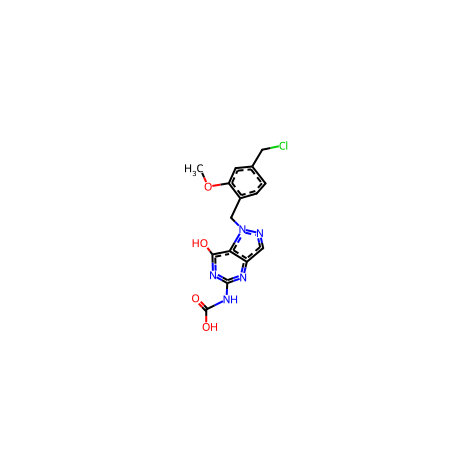 COc1cc(CCl)ccc1Cn1ncc2nc(NC(=O)O)nc(O)c21